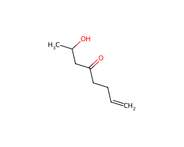 C=CCCC(=O)CC(C)O